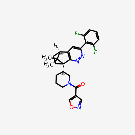 CC1(C)[C@H]2CCC1([C@H]1CCCN(C(=O)c3cnoc3)C1)c1nnc(-c3c(F)cccc3F)cc12